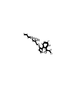 C=CCNCC(O)COc1ccsc1-c1ccccc1C(=O)CC